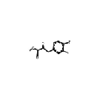 COC(=O)C(=O)Cc1ccc(F)c(F)c1